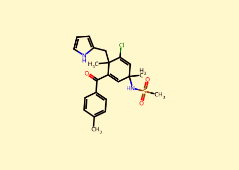 Cc1ccc(C(=O)C2=CC(C)(NS(C)(=O)=O)C=C(Cl)C2(C)Cc2ccc[nH]2)cc1